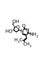 CC(C)=Cc1cn([C@H]2C[C@H](O)[C@@H](CO)O2)c(=O)nc1N